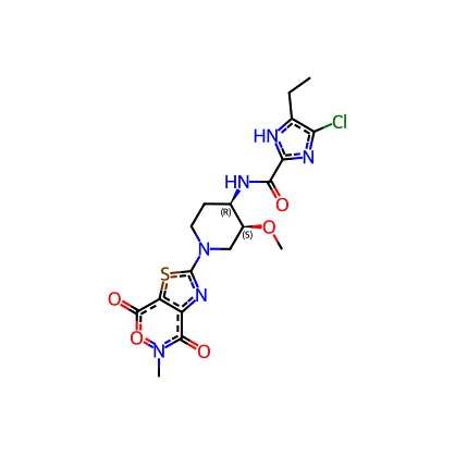 CCc1[nH]c(C(=O)N[C@@H]2CCN(c3nc4c(=O)n(C)oc(=O)c4s3)C[C@@H]2OC)nc1Cl